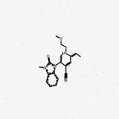 C\C=C(/C=C(C#N)\C(=C/C)n1c(=O)n(C)c2ccccc21)NCCOC